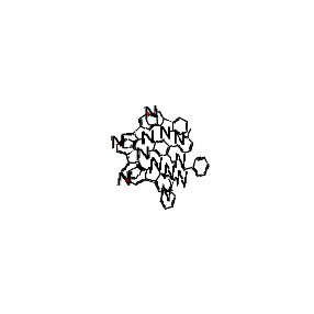 Cc1cccc(-c2c(-c3nc(-c4ccccc4)nc(-c4ccccc4)n3)c(-n3c4ccccc4c4cnccc43)c(-n3c4ccccc4c4cnccc43)c(-n3c4ccccc4c4cnccc43)c2-n2c3ccccc3c3cnccc32)n1